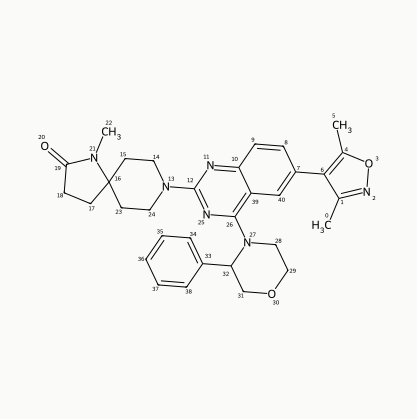 Cc1noc(C)c1-c1ccc2nc(N3CCC4(CCC(=O)N4C)CC3)nc(N3CCOCC3c3ccccc3)c2c1